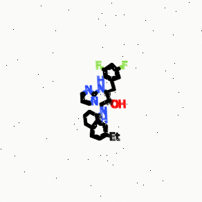 CCc1ccc2c(c1)[C@@H](NC[C@@H](O)[C@H](Cc1cc(F)cc(F)c1)Nc1ncccn1)CCC2